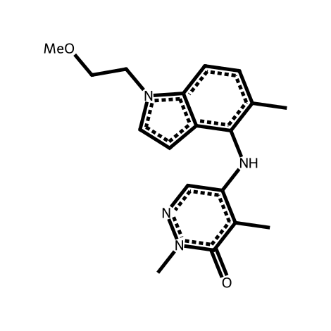 COCCn1ccc2c(Nc3cnn(C)c(=O)c3C)c(C)ccc21